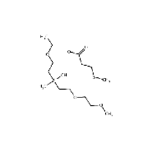 CCOCC[P+](C)(C)CCOCCOC.CSCCC(=O)[O-]